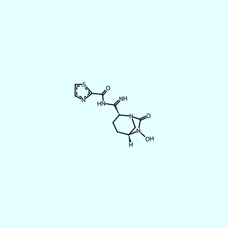 N=C(NC(=O)c1nccs1)[C@@H]1CC[C@@H]2CN1C(=O)N2O